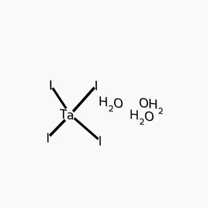 O.O.O.[I][Ta]([I])([I])[I]